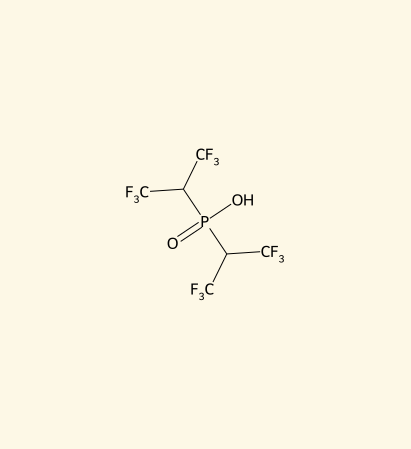 O=P(O)(C(C(F)(F)F)C(F)(F)F)C(C(F)(F)F)C(F)(F)F